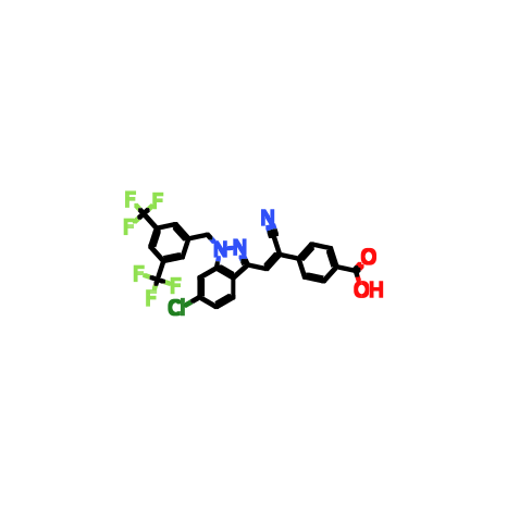 N#CC(=Cc1nn(Cc2cc(C(F)(F)F)cc(C(F)(F)F)c2)c2cc(Cl)ccc12)c1ccc(C(=O)O)cc1